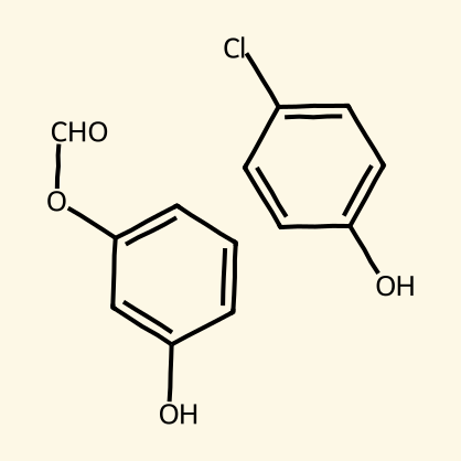 O=COc1cccc(O)c1.Oc1ccc(Cl)cc1